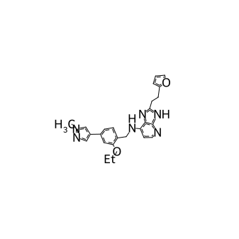 CCOc1cc(-c2cnn(C)c2)ccc1CNc1ccnc2[nH]c(CCc3ccco3)nc12